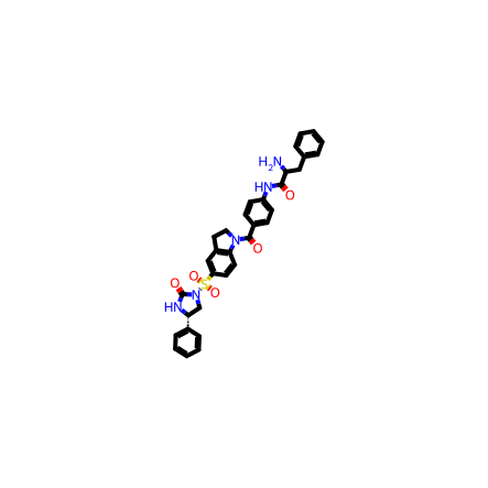 NC(Cc1ccccc1)C(=O)Nc1ccc(C(=O)N2CCc3cc(S(=O)(=O)N4C[C@H](c5ccccc5)NC4=O)ccc32)cc1